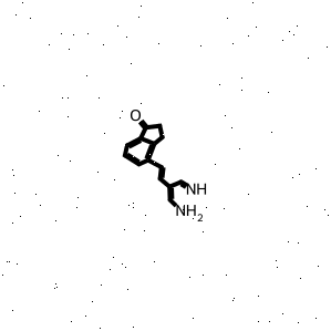 N=CC(=C\N)/C=C/c1cccc2c1CCC2=O